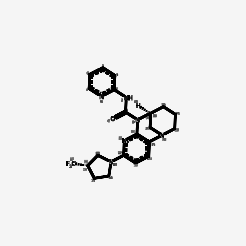 O=C(Nc1ccccn1)N1c2nc(N3CC[C@H](C(F)(F)F)C3)ccc2N2CCC[C@H]1C2